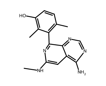 CNc1cc2c(N)ncnc2c(-c2c(C)ccc(O)c2C)n1